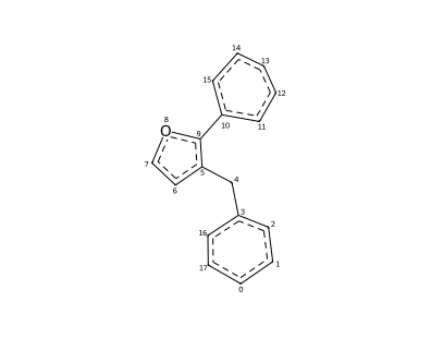 c1ccc(Cc2ccoc2-c2ccccc2)cc1